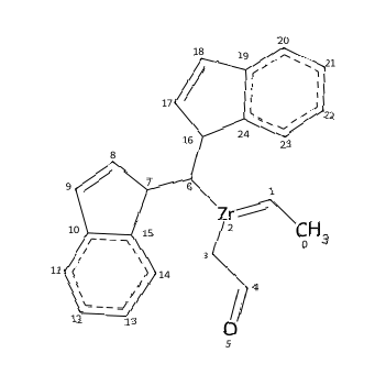 C[CH]=[Zr]([CH2]C=O)[CH](C1C=Cc2ccccc21)C1C=Cc2ccccc21